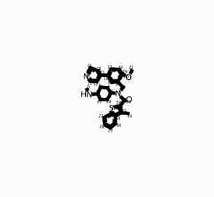 CNC1CCC(N(Cc2cc(-c3ccncc3)ccc2OC)C(=O)c2sc3ccccc3c2C)CC1